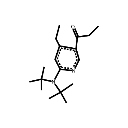 CCC(=O)c1cnc(N(C(C)(C)C)C(C)(C)C)cc1CC